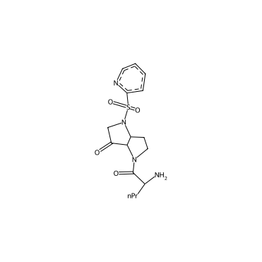 CCCC(N)C(=O)N1CCC2C1C(=O)CN2S(=O)(=O)c1ccccn1